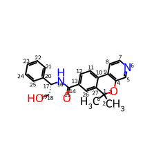 CC1(C)Oc2cnccc2-c2ccc(C(=O)N[C@H](CO)c3ccccc3)cc21